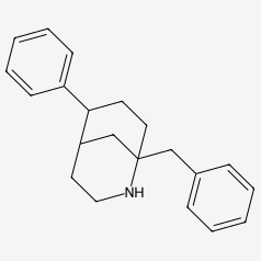 c1ccc(CC23CCC(c4ccccc4)C(CCN2)C3)cc1